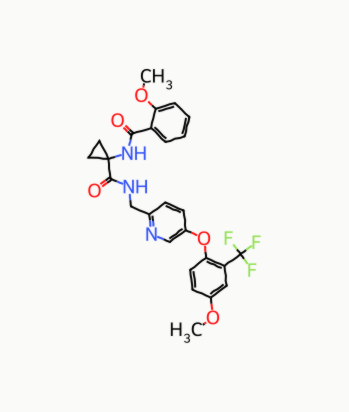 COc1ccc(Oc2ccc(CNC(=O)C3(NC(=O)c4ccccc4OC)CC3)nc2)c(C(F)(F)F)c1